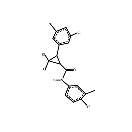 Cc1cc(Cl)cc(C2C(C(=O)N(F)c3ccc(Cl)c(C)c3)C2(Cl)Cl)c1